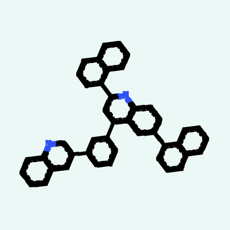 c1cc(-c2cnc3ccccc3c2)cc(-c2cc(-c3cccc4ccccc34)nc3ccc(-c4cccc5ccccc45)cc23)c1